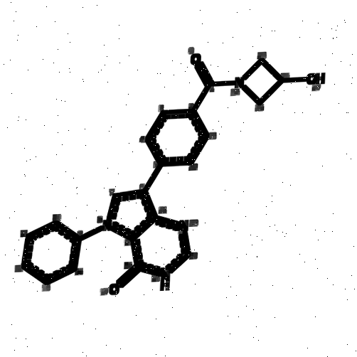 O=C(c1ccc(-c2cn(-c3ccccc3)c3c(=O)[nH]cnc23)cc1)N1CC(O)C1